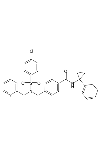 O=C(NC1(C2=CC=CCC2)CC1)c1ccc(CN(Cc2ccccn2)S(=O)(=O)c2ccc(Cl)cc2)cc1